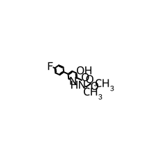 COC(=O)C(C)NC(=O)c1ncc(-c2ccc(F)cc2)cc1O